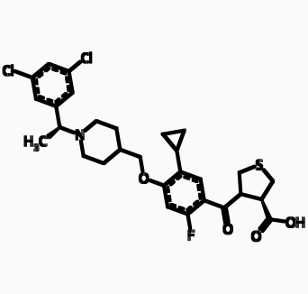 C[C@@H](c1cc(Cl)cc(Cl)c1)N1CCC(COc2cc(F)c(C(=O)C3CSC[C@H]3C(=O)O)cc2C2CC2)CC1